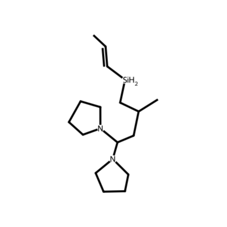 CC=C[SiH2]CC(C)CC(N1CCCC1)N1CCCC1